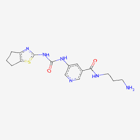 NCCCNC(=O)c1cncc(NC(=O)Nc2nc3c(s2)CCC3)c1